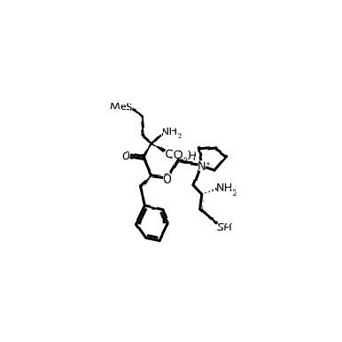 CSCC[C@@](N)(C(=O)O)C(=O)[C@H](Cc1ccccc1)OC[N+]1(C[C@H](N)CS)CCCC1